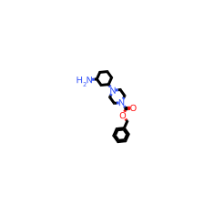 NC1CCCC(N2CCN(C(=O)OCc3ccccc3)CC2)C1